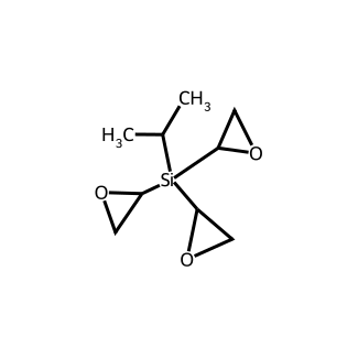 CC(C)[Si](C1CO1)(C1CO1)C1CO1